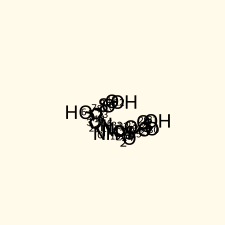 Nc1ccc2c(O)cc(SOOO)cc2c1N=Nc1ccc(S(=O)(=O)CCOS(=O)(=O)O)cc1